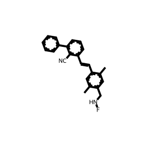 Cc1cc(CNF)c(C)cc1/C=C/c1cccc(-c2ccccc2)c1C#N